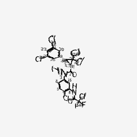 O=C(Nc1ccc(Cl)c(NC(=O)C(F)(F)Cl)c1)[C@H]1[C@H](c2cc(Cl)cc(Cl)c2)C1(Cl)Cl